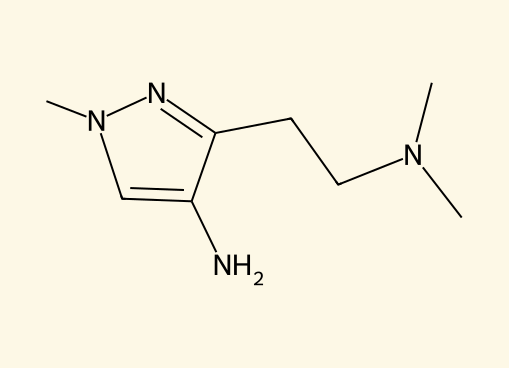 CN(C)CCc1nn(C)cc1N